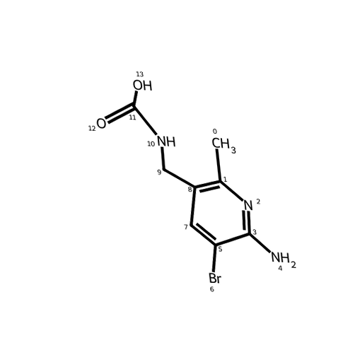 Cc1nc(N)c(Br)cc1CNC(=O)O